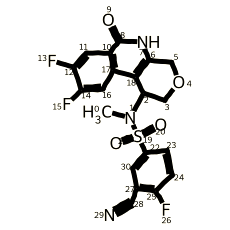 CN(C1COCc2[nH]c(=O)c3cc(F)c(F)cc3c21)S(=O)(=O)c1ccc(F)c(C#N)c1